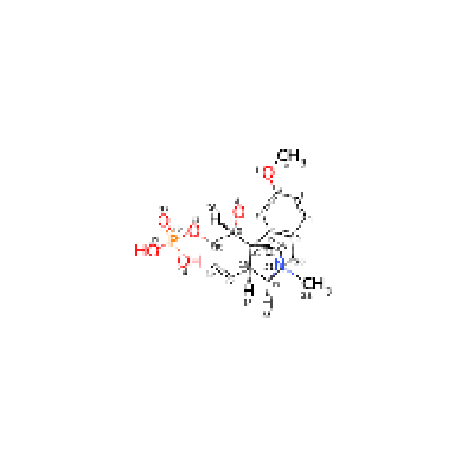 COc1ccc2c3c1O[C@H]1[C@@H](OP(=O)(O)O)C=C[C@H]4[C@@H](C2)N(C)CC[C@@]341